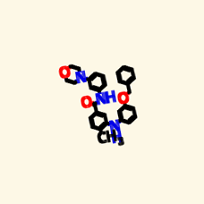 Cc1ccc(C(=O)Nc2cccc(N3CCOCC3)c2)cc1Nc1cccc(OCc2ccccc2)c1